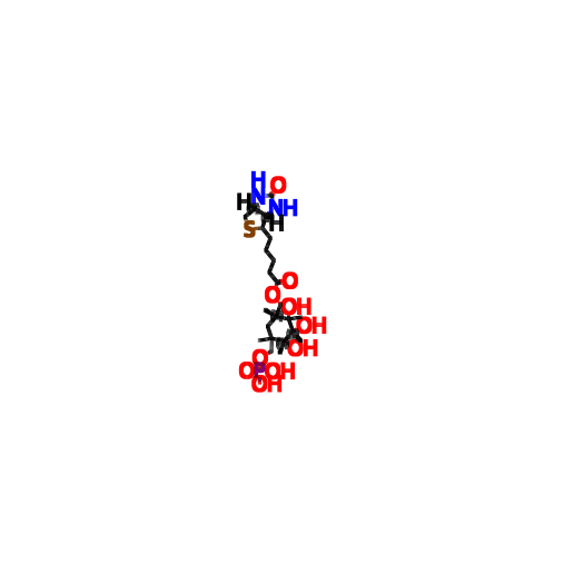 CC1(O)[C@@](C)(COC(=O)CCCCC2SC[C@@H]3NC(=O)N[C@H]23)CC(C)(COP(=O)(O)O)[C@@](C)(O)[C@@]1(C)O